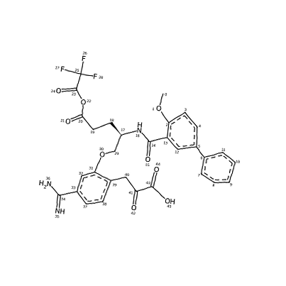 COc1ccc(-c2ccccc2)cc1C(=O)N[C@H](CCC(=O)OC(=O)C(F)(F)F)COc1cc(C(=N)N)ccc1CC(=O)C(=O)O